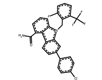 NC(=O)c1cccc2c1c1[c]cc(-c3ccc(Cl)cc3)cc1n2Cc1c(F)cccc1C(F)(F)F